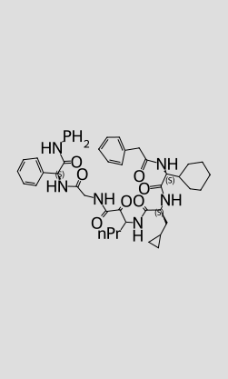 CCCC(NC(=O)[C@H](CC1CC1)NC(=O)[C@@H](NC(=O)Cc1ccccc1)C1CCCCC1)C(=O)C(=O)NCC(=O)N[C@H](C(=O)NP)c1ccccc1